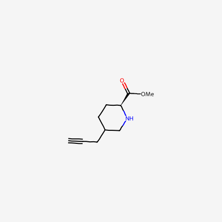 C#CCC1CC[C@@H](C(=O)OC)NC1